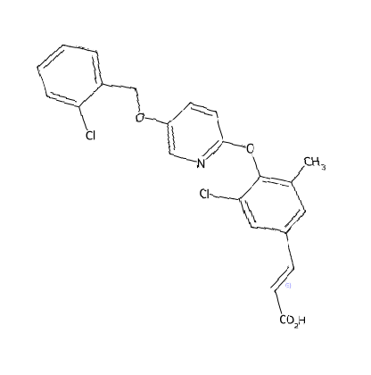 Cc1cc(/C=C/C(=O)O)cc(Cl)c1Oc1ccc(OCc2ccccc2Cl)cn1